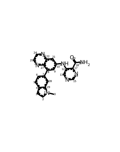 Cn1ccc2ccc(-c3cc(Nc4cncnc4C(N)=O)cc4nccnc34)cc21